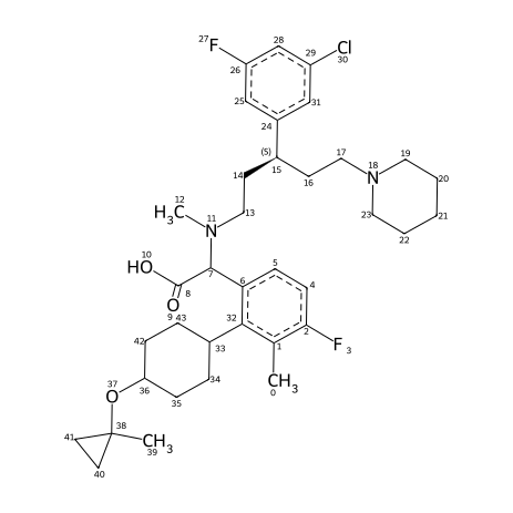 Cc1c(F)ccc(C(C(=O)O)N(C)CC[C@H](CCN2CCCCC2)c2cc(F)cc(Cl)c2)c1C1CCC(OC2(C)CC2)CC1